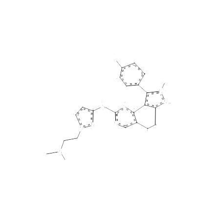 CN(C)CCn1ccc(Nc2ncc3c(n2)-c2c(nn(C)c2-c2ccc(F)cc2)CC3)n1